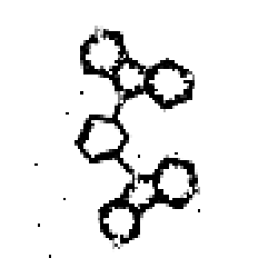 C1=CC(n2c3ccncc3c3cnccc32)CC(n2c3ccncc3c3cnccc32)=C1